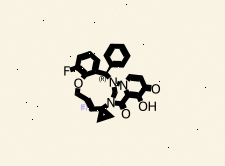 O=C1c2c(O)c(=O)ccn2N2CN1C1(/C=C/COc3c(F)cccc3[C@H]2c2ccccc2)CC1